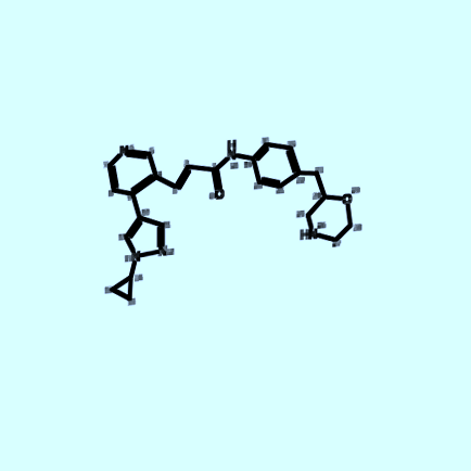 O=C(/C=C/c1cnccc1-c1cnn(C2CC2)c1)Nc1ccc(CC2CNCCO2)cc1